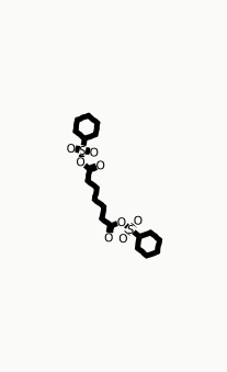 O=C(CCCCCC(=O)OS(=O)(=O)C1CCCCC1)OS(=O)(=O)C1CCCCC1